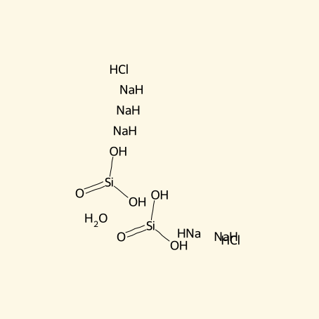 Cl.Cl.O.O=[Si](O)O.O=[Si](O)O.[NaH].[NaH].[NaH].[NaH].[NaH]